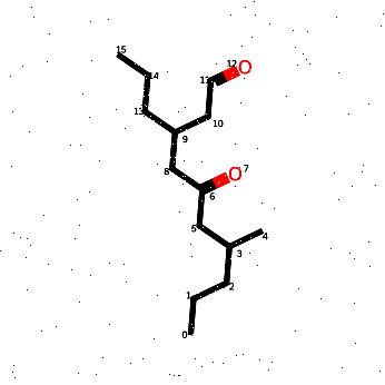 CCCC(C)CC(=O)CC(CC=O)CCC